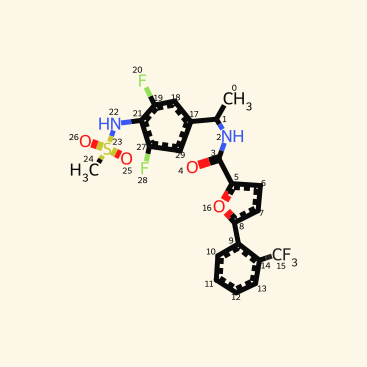 CC(NC(=O)c1ccc(-c2ccccc2C(F)(F)F)o1)c1cc(F)c(NS(C)(=O)=O)c(F)c1